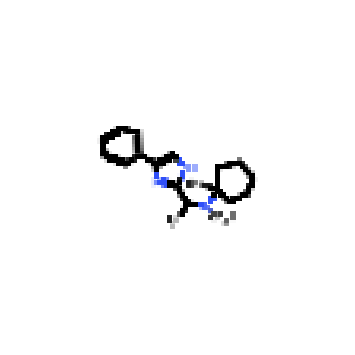 CC(c1nc(-c2ccccc2)c[nH]1)N(C(=O)O)C1(C(C)(C)C)CCCCC1